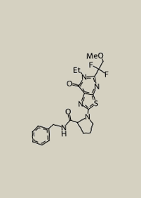 CCn1c(C(F)(F)COC)nc2sc(N3CCCC3C(=O)NCc3ccccc3)nc2c1=O